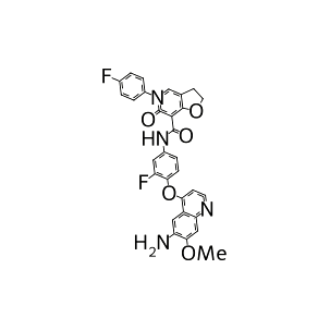 COc1cc2nccc(Oc3ccc(NC(=O)c4c5c(cn(-c6ccc(F)cc6)c4=O)CCO5)cc3F)c2cc1N